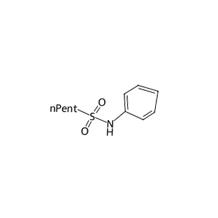 CCCCCS(=O)(=O)Nc1ccccc1